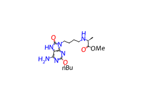 CCCCOc1nc(N)c2[nH]c(=O)n(CCCCN[C@@H](C)C(=O)OC)c2n1